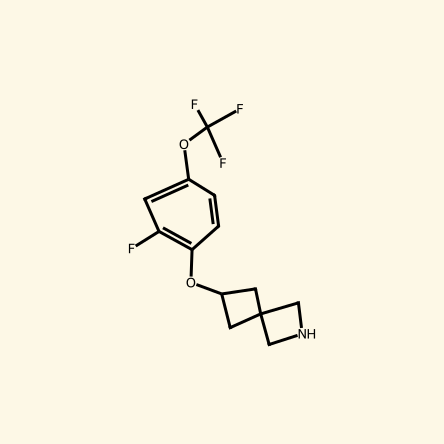 Fc1cc(OC(F)(F)F)ccc1OC1CC2(CNC2)C1